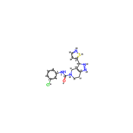 O=C(Nc1cccc(Cl)c1)N1CCC2=C(C1)C(c1ccns1)N=N2